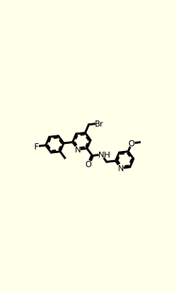 COc1ccnc(CNC(=O)c2cc(CBr)cc(-c3ccc(F)cc3C)n2)c1